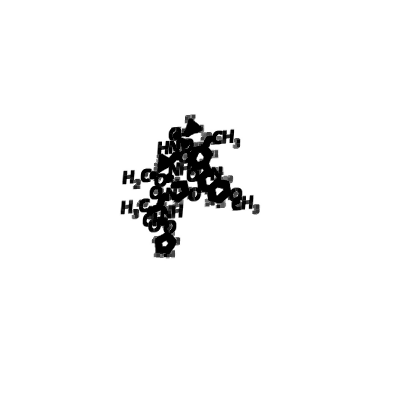 C=C[C@@H]1C[C@]1(NC(=O)[C@@H]1C[C@@H](Oc2c3ccc(OC)cc3nc3c2oc2ccc(CC)cc23)CN1C(=O)[C@@H](NC(=O)OC1CCCC1)C(C)C)C(=O)NS(=O)(=O)C1CC1